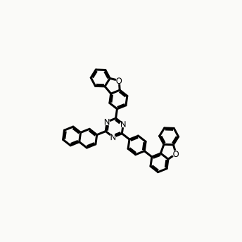 c1ccc2cc(-c3nc(-c4ccc(-c5cccc6oc7ccccc7c56)cc4)nc(-c4ccc5oc6ccccc6c5c4)n3)ccc2c1